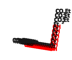 CCO.CCO.CCO.CCO.CCO.CCO.CCO.CCO.CCO.CCO.CCO.CCO.CCO.CCO.CCO.CCO.CCO.CCO.CCO.CCO.CCOC(C)=O.CCOC(C)=O.CCOC(C)=O.CCOC(C)=O.CCOC(C)=O.CCOC(C)=O.CCOC(C)=O.CCOC(C)=O.CCOC(C)=O.CCOC(C)=O